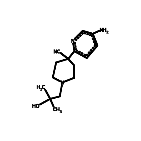 CC(C)(O)CN1CCC(C#N)(c2ccc(N)cn2)CC1